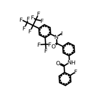 O=C(Nc1cccc(C(=O)N(I)c2ccc(C(F)(C(F)(F)F)C(F)(F)F)cc2C(F)(F)F)c1)c1ccccc1F